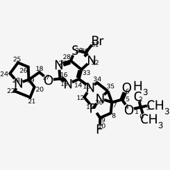 CC(C)(C)OC(=O)C12CC(F)P3CN(c4nc(OCC56CCCN5CCC6)nc5sc(Br)nc45)CC1N32